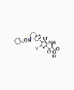 COc1c(-c2cc3c(s2)CCC/C3=N\OCc2ccccc2)c(C2CC2)cc2c(=O)c(C(=O)O)c[nH]c12